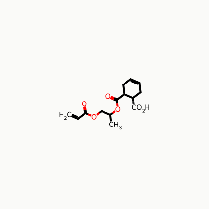 C=CC(=O)OCC(C)OC(=O)C1CC=CCC1C(=O)O